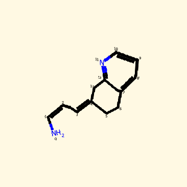 N/C=C\C=C1\CCc2cccnc2C1